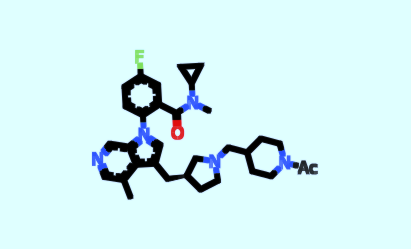 CC(=O)N1CCC(CN2CC[C@@H](Cc3cn(-c4ccc(F)cc4C(=O)N(C)C4CC4)c4cncc(C)c34)C2)CC1